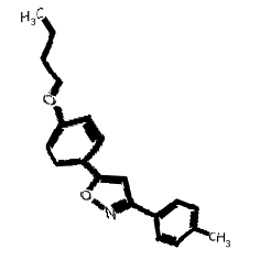 CCCCOc1ccc(-c2cc(-c3ccc(C)cc3)no2)cc1